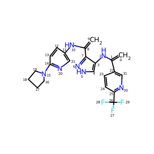 C=C(Nc1c[nH]nc1C(=C)Nc1ccc(N2CCCC2)nc1)c1ccc(C(F)(F)F)nc1